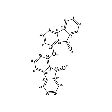 O=C1c2ccccc2-c2cccc(Oc3cccc4c3C(=O)c3ccccc3-4)c21